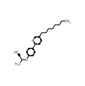 C#CC(C)Oc1ccc(-c2ccc(CCCCCCCC)cn2)cc1